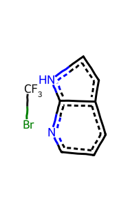 FC(F)(F)Br.c1cnc2[nH]ccc2c1